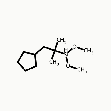 CO[SiH](OC)C(C)(C)CC1CCCC1